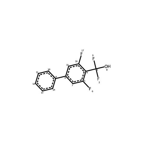 OC(F)(F)c1c(F)cc(-c2ccccc2)cc1F